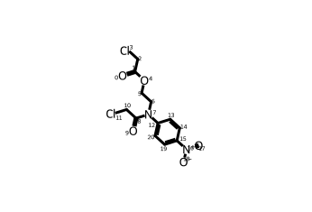 O=C(CCl)OCCN(C(=O)CCl)c1ccc([N+](=O)[O-])cc1